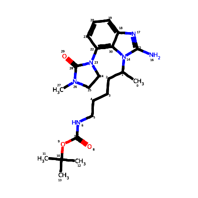 CC(CCCCNC(=O)OC(C)(C)C)n1c(N)nc2cccc(N3CCN(C)C3=O)c21